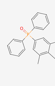 Cc1cc(P(=O)(c2ccccc2)c2ccccc2)cc(C)c1C